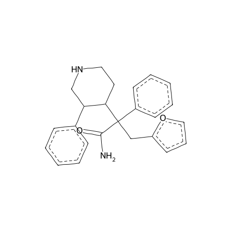 NC(=O)C(Cc1ccco1)(c1ccccc1)C1CCNCC1c1ccccc1